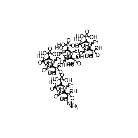 CCN(C(P(=O)(O)O)P(=O)(O)O)C(P(=O)(O)O)P(=O)(O)O.CCN(C(P(=O)(O)O)P(=O)(O)O)C(P(=O)(O)O)P(=O)(O)O.CCN(C(P(=O)(O)O)P(=O)(O)O)C(P(=O)(O)O)P(=O)(O)O.CCN(C(P(=O)(O)O)P(=O)(O)O)C(P(=O)(O)O)P(=O)(O)O.N.N